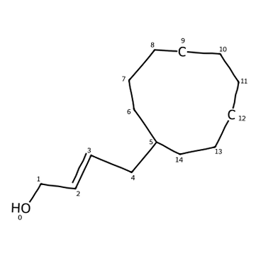 OC/C=C/CC1CCCCCCCCC1